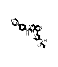 C=CC(=O)Nc1ccnc(-c2cncc3cnc(Nc4ccc(N5CCOCC5)cc4)nc23)c1